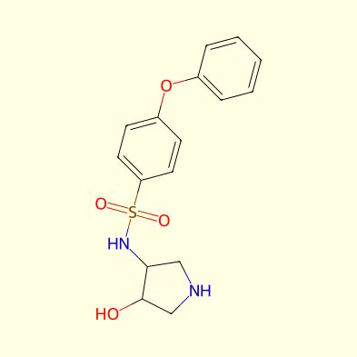 O=S(=O)(NC1CNCC1O)c1ccc(Oc2ccccc2)cc1